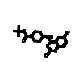 CC(C)(C)OC(=O)N1CCC(Nc2nc(Cl)nc3ccc(Br)cc23)CC1